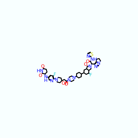 O=C1CCC(Nc2cnc(N3CCC(O)(CC(=O)N4CCN(C5CCC(C6CC(F)C7CN(C(C(=O)Nc8nccs8)c8ncn9c8CCC9)C(=O)C7C6)CC5)CC4)CC3)c(F)c2)C(=O)N1